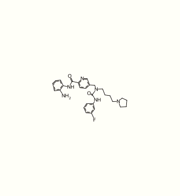 Nc1ccccc1NC(=O)c1ccc(CN(CCCCN2CCCC2)C(=O)Nc2cccc(F)c2)cn1